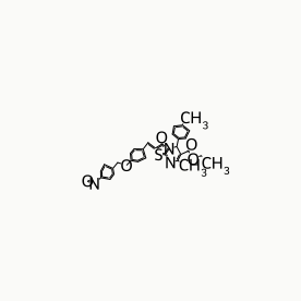 CCOC(=O)C1=C(C)N=c2s/c(=C\c3ccc(OCc4ccc(N=O)cc4)cc3)c(=O)n2C1c1ccc(C)cc1